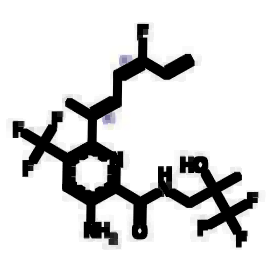 C=C/C(F)=C\C=C(/C)c1nc(C(=O)NCC(C)(O)C(F)(F)F)c(N)cc1C(F)(F)F